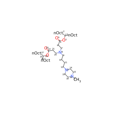 CCCCCCCCC(CCCCCCCC)OC(=O)CCN(CCCCN1CCN(C)CC1)CCC(=O)OC(CCCCCCCC)CCCCCCCC